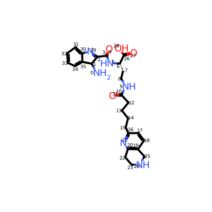 NC1C(C(=O)N[C@@H](CCNC(=O)CCCCc2ccc3c(n2)CCNC3)C(=O)O)=Nc2ccccc21